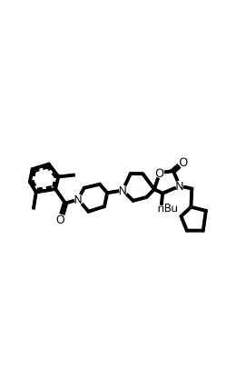 CCCCC1N(CC2CCCC2)C(=O)OC12CCN(C1CCN(C(=O)c3c(C)cccc3C)CC1)CC2